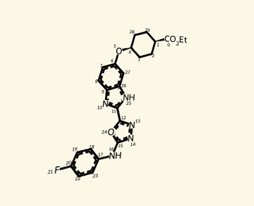 CCOC(=O)[C@H]1CC[C@@H](Oc2ccc3nc(-c4nnc(Nc5ccc(F)cc5)o4)[nH]c3c2)CC1